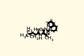 Cc1nc(N2CCCc3cccnc32)nc(C)c1NC(=S)CCC(C)(C)C